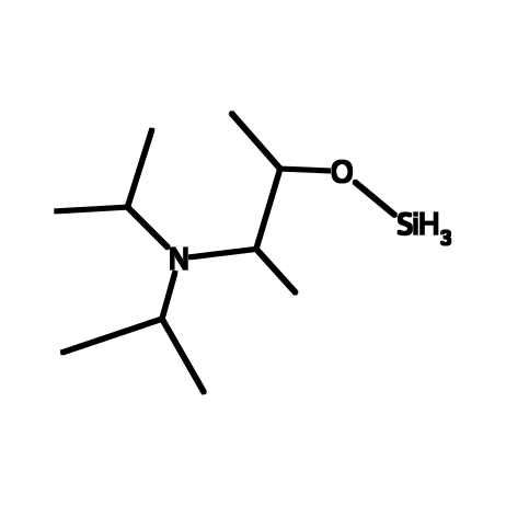 CC(O[SiH3])C(C)N(C(C)C)C(C)C